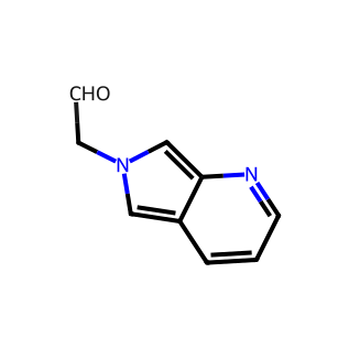 O=CCn1cc2cccnc2c1